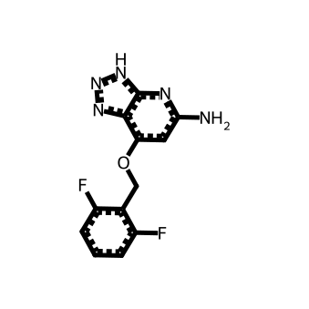 Nc1cc(OCc2c(F)cccc2F)c2nn[nH]c2n1